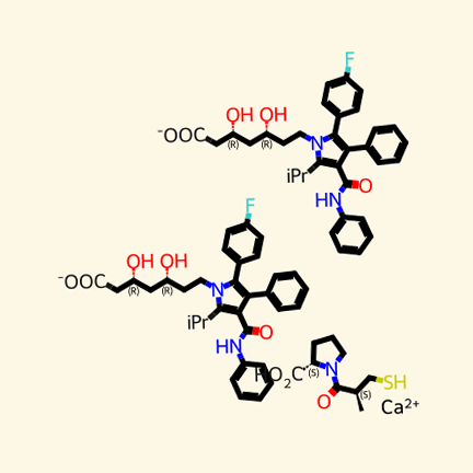 CC(C)c1c(C(=O)Nc2ccccc2)c(-c2ccccc2)c(-c2ccc(F)cc2)n1CC[C@@H](O)C[C@@H](O)CC(=O)[O-].CC(C)c1c(C(=O)Nc2ccccc2)c(-c2ccccc2)c(-c2ccc(F)cc2)n1CC[C@@H](O)C[C@@H](O)CC(=O)[O-].C[C@H](CS)C(=O)N1CCC[C@H]1C(=O)O.[Ca+2]